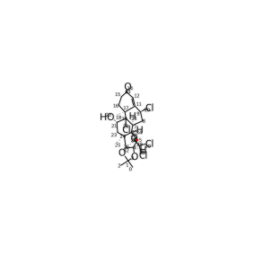 CC1(C)O[C@@H]2C[C@H]3[C@@H]4C[C@H](Cl)C5=CC(=O)CC[C@]5(C)[C@@]4(Cl)[C@@H](O)C[C@]3(C)[C@]2(C(=O)C(Cl)Cl)O1